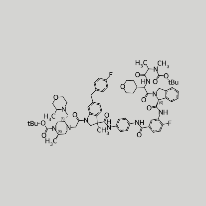 CC1COCCN1C[C@H]1CN(C(=O)OC(C)(C)C)[C@H](C)CN1CC(=O)N1CC(C)(C(=O)Nc2ccc(NC(=O)c3ccc(F)c(NC(=O)[C@@H]4c5ccccc5CN4C(=O)C(NC(=O)C(C)N(C)C(=O)OC(C)(C)C)C4CCOCC4)c3)cc2)c2ccc(Cc3ccc(F)cc3)cc21